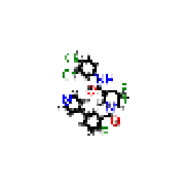 O=C(Nc1ccc(Cl)c(Cl)c1)C1CN(C(=O)c2cc(-c3ccncc3)ccc2F)CC(F)(F)C1